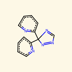 C1=NC(c2ccccn2)(c2ccccn2)N=N1